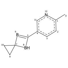 Cc1ccc(C2=BC3(B2)CC3)cn1